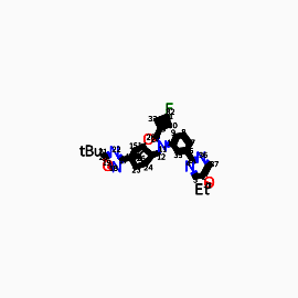 CCOc1cnc(-c2cccc(N(CC34CCC(c5noc(C(C)(C)C)n5)(CC3)CC4)C(=O)C34CC(F)(C3)C4)c2)nc1